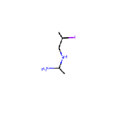 CC(I)CNC(C)N